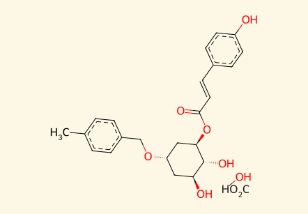 Cc1ccc(CO[C@H]2C[C@H](O)[C@@H](O)[C@H](OC(=O)/C=C/c3ccc(O)cc3)C2)cc1.O=C(O)O